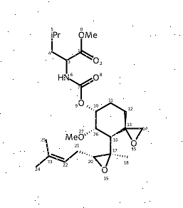 COC(=O)C(CC(C)C)NC(=O)O[C@@H]1CC[C@]2(CO2)[C@@H]([C@@]2(C)O[C@@H]2CC=C(C)C)[C@@H]1OC